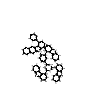 c1ccc(-c2cccc3c2c2cc4ccccc4cc2n3-c2ccc(-c3nc(-c4cccc5oc6ccccc6c45)nc(-c4cccc5oc6ccccc6c45)n3)cc2-c2cccc3oc4ccccc4c23)cc1